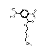 CCOCCNC(=O)c1cc(B(O)O)ccc1[N+](=O)[O-]